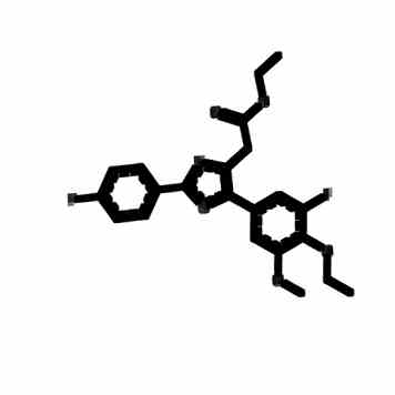 CCOC(=O)Cc1nc(-c2ccc(F)cc2)oc1-c1cc(F)c(OCC)c(OC)c1